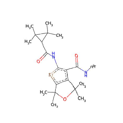 CCCNC(=O)c1c(NC(=O)C2C(C)(C)C2(C)C)sc2c1C(C)(C)OC2(C)C